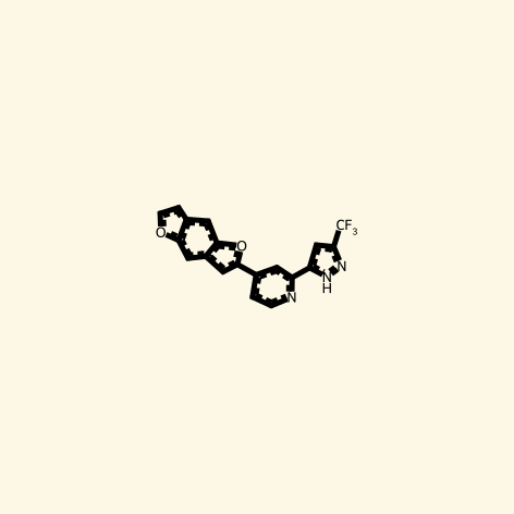 FC(F)(F)c1cc(-c2cc(-c3cc4cc5occc5cc4o3)ccn2)[nH]n1